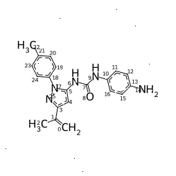 C=C(C)c1cc(NC(=O)Nc2ccc(N)cc2)n(-c2ccc(C)cc2)n1